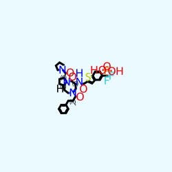 C[C@H](Cc1ccccc1)C(=O)N1CC[C@H]2CC[C@@H](C(=O)N3CCCC3)N2C(=O)[C@@H](NC(=O)c2cc3cc(C(F)(F)P(=O)(O)O)ccc3s2)C1